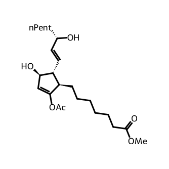 CCCCC[C@H](O)/C=C/[C@H]1[C@H](O)C=C(OC(C)=O)[C@@H]1CCCCCCC(=O)OC